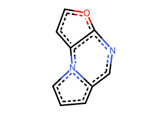 c1cc2cnc3occc3n2c1